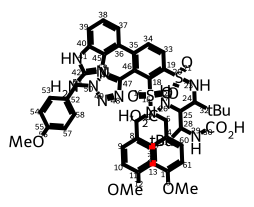 COc1ccc(CN(Cc2ccc(OC)cc2)S(=O)(=O)c2c(S(=O)(=O)NC(C(NC(=O)O)C(NC(=O)O)C(C)(C)C)C(C)(C)C)ccc(-c3cccc4[nH]c(N)nc34)c2-c2nnn(Cc3ccc(OC)cc3)n2)cc1